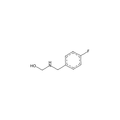 OCNCc1ccc(F)cc1